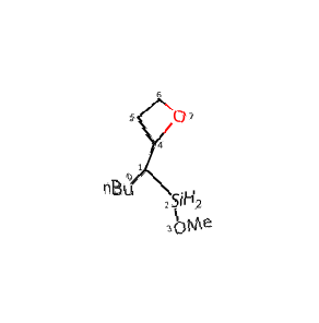 CCCCC([SiH2]OC)C1CCO1